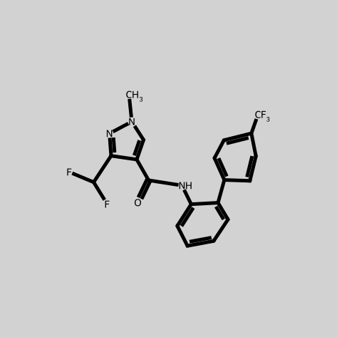 Cn1cc(C(=O)Nc2ccccc2-c2ccc(C(F)(F)F)cc2)c(C(F)F)n1